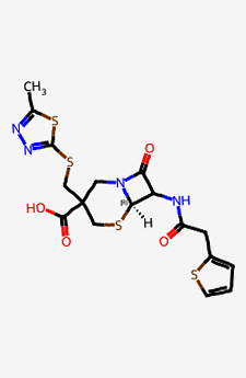 Cc1nnc(SCC2(C(=O)O)CS[C@@H]3C(NC(=O)Cc4cccs4)C(=O)N3C2)s1